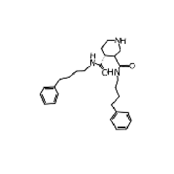 O=C(NCCCCc1ccccc1)C1CNCC[C@H]1C(=O)NCCCCc1ccccc1